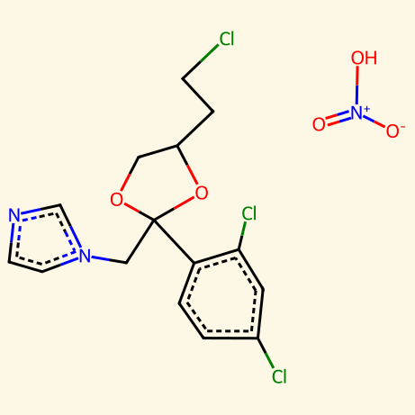 ClCCC1COC(Cn2ccnc2)(c2ccc(Cl)cc2Cl)O1.O=[N+]([O-])O